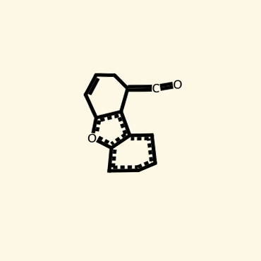 O=C=C1CC=Cc2oc3ccccc3c21